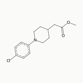 COC(=O)CC1CCN(c2ccc(Cl)cc2)CC1